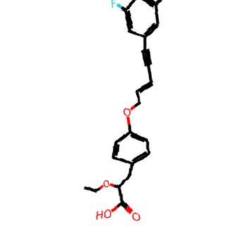 CCOC(Cc1ccc(OCC=CC#Cc2cc(F)cc(F)c2)cc1)C(=O)O